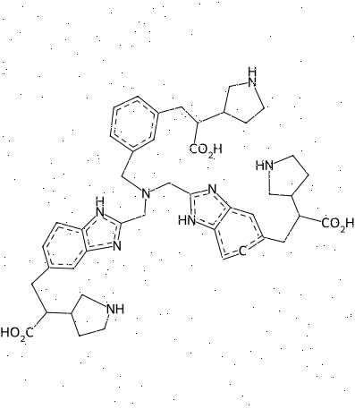 O=C(O)C(Cc1cccc(CN(Cc2nc3cc(CC(C(=O)O)C4CCNC4)ccc3[nH]2)Cc2nc3cc(CC(C(=O)O)C4CCNC4)ccc3[nH]2)c1)C1CCNC1